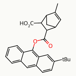 CC1=CC2CC1C(C(=O)O)C2C(=O)Oc1c2ccccc2cc2ccc(C(C)(C)C)cc12